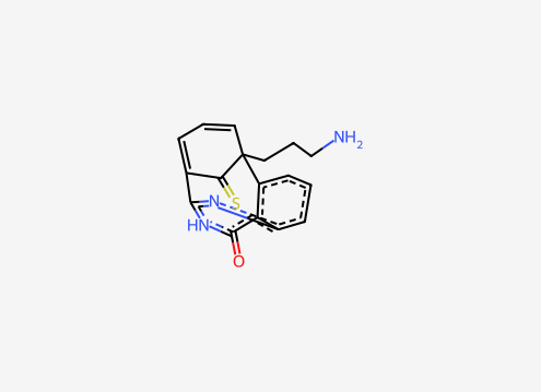 NCCCC12C=CC=C(C1=S)c1nc3cccc2c3c(=O)[nH]1